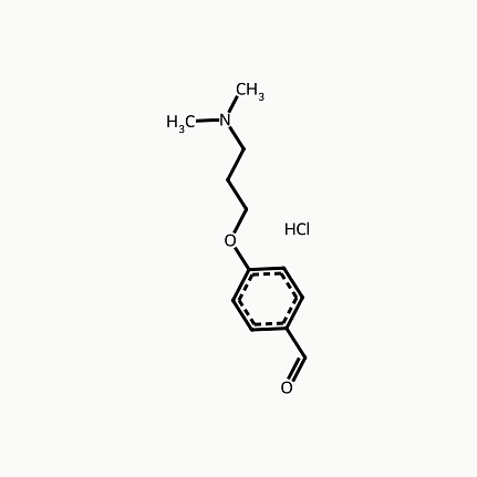 CN(C)CCCOc1ccc(C=O)cc1.Cl